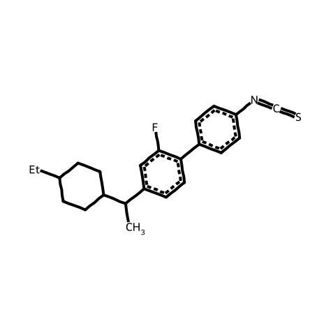 CCC1CCC(C(C)c2ccc(-c3ccc(N=C=S)cc3)c(F)c2)CC1